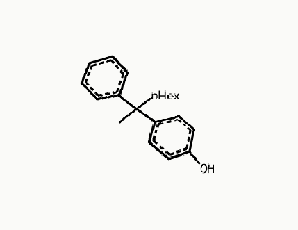 CCCCCCC(C)(c1ccccc1)c1ccc(O)cc1